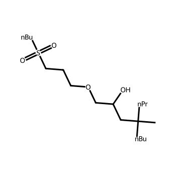 CCCCC(C)(CCC)CC(O)COCCCS(=O)(=O)CCCC